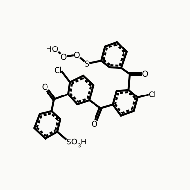 O=C(c1ccc(Cl)c(C(=O)c2cccc(SOOO)c2)c1)c1ccc(Cl)c(C(=O)c2cccc(S(=O)(=O)O)c2)c1